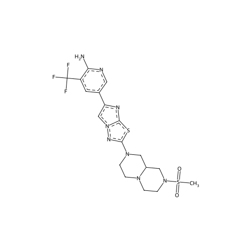 CS(=O)(=O)N1CCN2CCN(c3nn4cc(-c5cnc(N)c(C(F)(F)F)c5)nc4s3)CC2C1